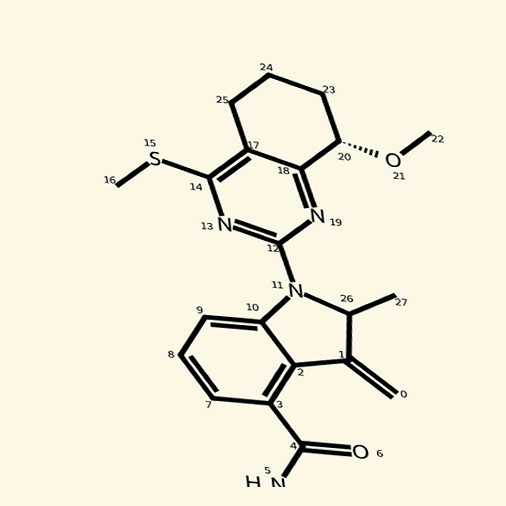 C=C1c2c(C(N)=O)cccc2N(c2nc(SC)c3c(n2)[C@@H](OC)CCC3)C1C